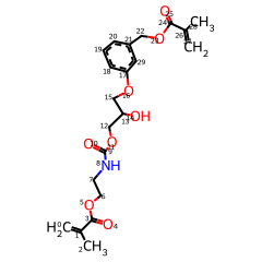 C=C(C)C(=O)OCCNC(=O)OCC(O)COc1cccc(COC(=O)C(=C)C)c1